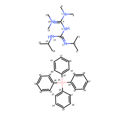 CC(C)N=C(NC(N(C)C)=[N+](C)C)NC(C)C.c1ccc([B-](c2ccccc2)(c2ccccc2)c2ccccc2)cc1